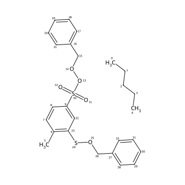 CCCCC.Cc1ccc(S(=O)(=O)OOCc2ccccc2)cc1SOCc1ccccc1